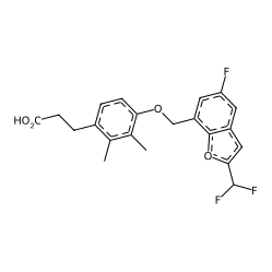 Cc1c(CCC(=O)O)ccc(OCc2cc(F)cc3cc(C(F)F)oc23)c1C